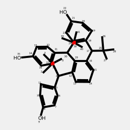 CC(C)(C)C(c1ccc(O)cc1)c1cccc(C(c2ccc(O)cc2)C(C)(C)C)c1C(c1ccc(O)cc1)C(C)(C)C